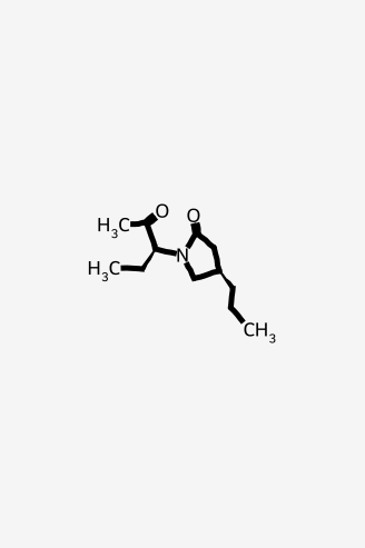 CCC[C@@H]1CC(=O)N([C@@H](CC)C(C)=O)C1